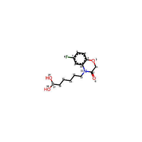 O=C1COc2ccc(F)cc2N1CCCCCB(O)O